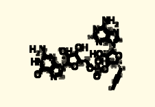 CC#CC[C@H]1O[C@@H](n2cnc3c(N)ncnc32)C(O)C1OP(=O)(O)OC[C@H]1O[C@@H](n2cnc3c(=O)[nH]c(N)nc32)C(O)C1O